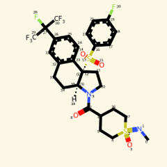 CN=S1(=O)CCC(C(=O)N2CC[C@]3(S(=O)(=O)c4ccc(F)cc4)c4ccc(C(F)(C(F)(F)F)C(F)(F)F)cc4CC[C@H]23)CC1